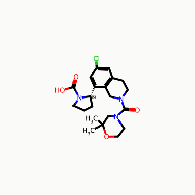 CC1(C)CN(C(=O)N2CCc3cc(Cl)cc([C@@H]4CCCN4C(=O)O)c3C2)CCO1